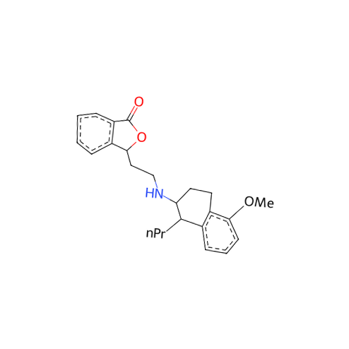 CCCC1c2cccc(OC)c2CCC1NCCC1OC(=O)c2ccccc21